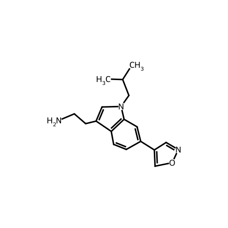 CC(C)Cn1cc(CCN)c2ccc(-c3cnoc3)cc21